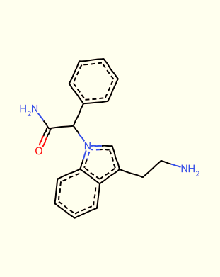 NCCc1cn(C(C(N)=O)c2ccccc2)c2ccccc12